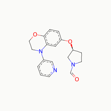 O=CN1CC[C@H](Oc2ccc3c(c2)N(c2cccnc2)CCO3)C1